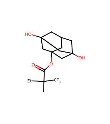 CCC(C)(C(=O)OC12CC3CC(O)(CC(O)(C3)C1)C2)C(F)(F)F